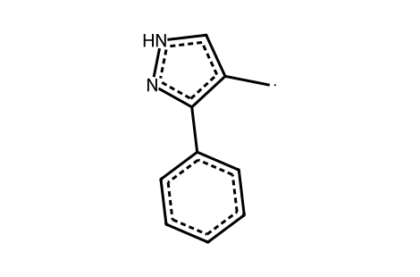 [CH2]c1c[nH]nc1-c1ccccc1